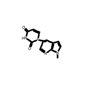 Cn1ccc2cc(-n3ccc(=O)[nH]c3=O)cnc21